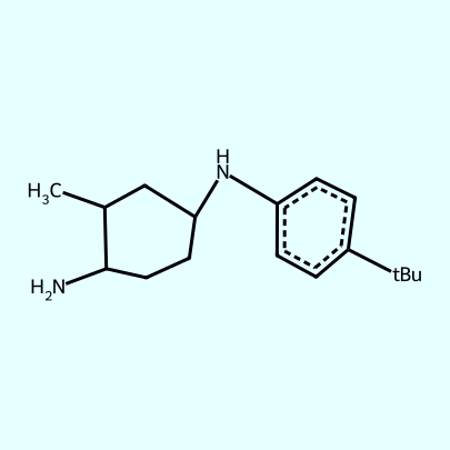 CC1CC(Nc2ccc(C(C)(C)C)cc2)CCC1N